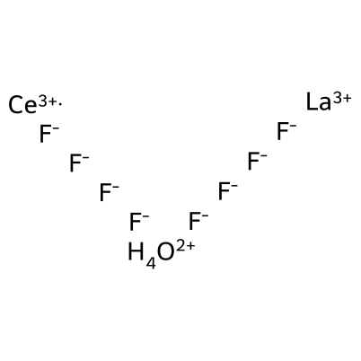 [Ce+3].[F-].[F-].[F-].[F-].[F-].[F-].[F-].[F-].[La+3].[OH4+2]